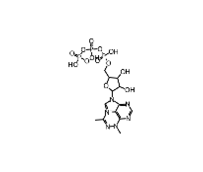 CC1=NN(C)c2ncnc3c2[n+]1cn3C1OC(COP(=O)(O)OP(=O)(O)OP(=O)([O-])O)C(O)C1O